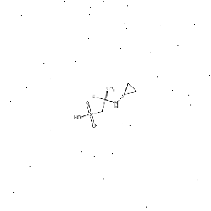 C[C@](F)(CS(=O)(=O)O)NC1CC1